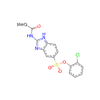 COC(=O)Nc1nc2cc(S(=O)(=O)Oc3ccccc3Cl)ccc2[nH]1